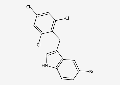 Clc1cc(Cl)c(Cc2c[nH]c3ccc(Br)cc23)c(Cl)c1